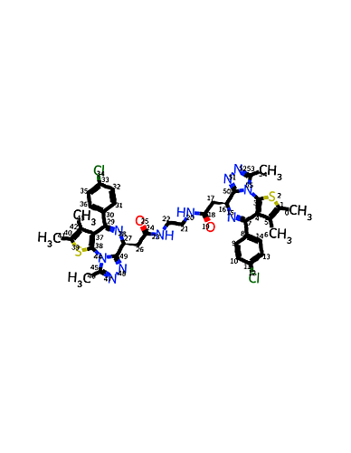 Cc1sc2c(c1C)C(c1ccc(Cl)cc1)=N[C@@H](CC(=O)NCCNC(=O)C[C@@H]1N=C(c3ccc(Cl)cc3)c3c(sc(C)c3C)-n3c(C)nnc31)c1nnc(C)n1-2